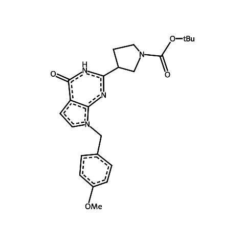 COc1ccc(Cn2ccc3c(=O)[nH]c(C4CCN(C(=O)OC(C)(C)C)C4)nc32)cc1